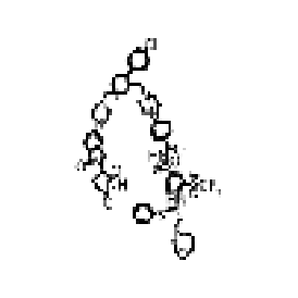 C[C@@]1(CN2CCN(c3ccc4c(c3)CN(C3CCC(=O)NC3=O)C4=O)CC2)CCC(c2ccc(Cl)cc2)=C(CN2CCN(c3ccc(C(=O)NS(=O)(=O)c4ccc(N[C@H](CCN5CCCOCC5)CSc5ccccc5)c(S(=O)(=O)C(F)(F)F)c4)cc3)CC2)C1